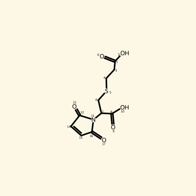 O=C(O)CCSCC(C(=O)O)N1C(=O)C=CC1=O